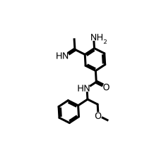 COCC(NC(=O)c1ccc(N)c(C(C)=N)c1)c1ccccc1